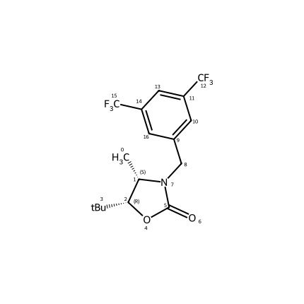 C[C@H]1[C@@H](C(C)(C)C)OC(=O)N1Cc1cc(C(F)(F)F)cc(C(F)(F)F)c1